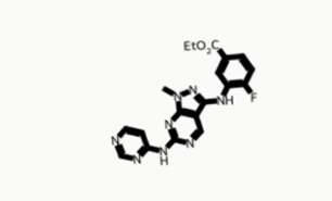 CCOC(=O)c1ccc(F)c(Nc2nn(C)c3nc(Nc4ccncn4)ncc23)c1